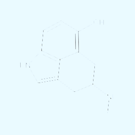 CCNC1Cc2c[nH]c3ccc(O)c(c23)C1